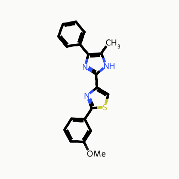 COc1cccc(-c2nc(-c3nc(-c4ccccc4)c(C)[nH]3)cs2)c1